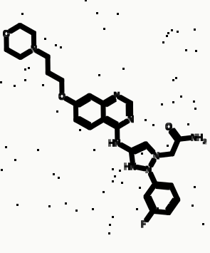 NC(=O)CN1C=C(Nc2ncnc3cc(OCCCN4CCOCC4)ccc23)NN1c1cccc(F)c1